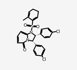 CC1=CCCC=C1S(=O)(=O)N1c2cccc(=O)n2[C@@H](c2ccc(Cl)cc2)[C@H]1c1ccc(Cl)cc1